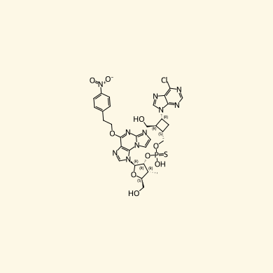 C[C@H]1[C@@H](OP(O)(=S)OC[C@H]2C[C@@H](n3cnc4c(Cl)ncnc43)[C@@H]2CO)[C@H](n2cnc3c(OCCc4ccc([N+](=O)[O-])cc4)nc4nccn4c32)O[C@@H]1CO